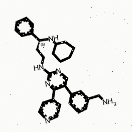 NCc1cccc(-c2cnc(NCC[C@H](NC3CCCCC3)c3ccccc3)nc2-c2ccncc2)c1